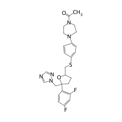 CC(=O)N1CCN(c2ccc(SCC3CCC(Cn4cncn4)(c4ccc(F)cc4F)O3)cc2)CC1